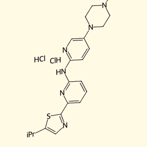 CC(C)c1cnc(-c2cccc(Nc3ccc(N4CCN(C)CC4)cn3)n2)s1.Cl.Cl